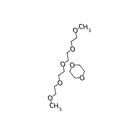 C1COCCO1.COCCOCCOCCOCCOC